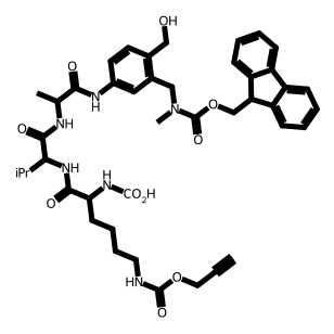 C#CCOC(=O)NCCCCC(NC(=O)O)C(=O)NC(C(=O)NC(C)C(=O)Nc1ccc(CO)c(CN(C)C(=O)OCC2c3ccccc3-c3ccccc32)c1)C(C)C